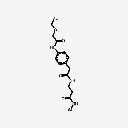 CCCCNC(=O)CCNC(=O)Cc1ccc(NC(=O)COCC(C)=O)cc1